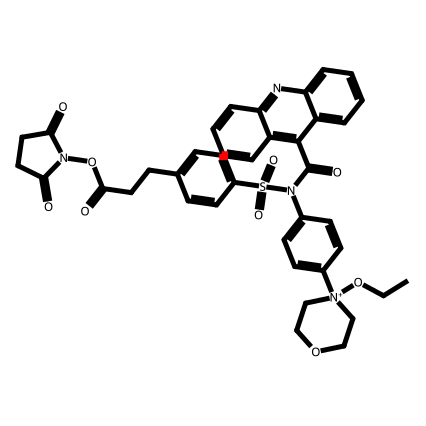 CCO[N+]1(c2ccc(N(C(=O)c3c4ccccc4nc4ccccc34)S(=O)(=O)c3ccc(CCC(=O)ON4C(=O)CCC4=O)cc3)cc2)CCOCC1